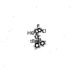 CC(C)(C)[Si](OC1CCN([C@@H]2c3cc(Cl)cc(F)c3C[C@H]2O)C1)(c1ccccc1)c1ccccc1